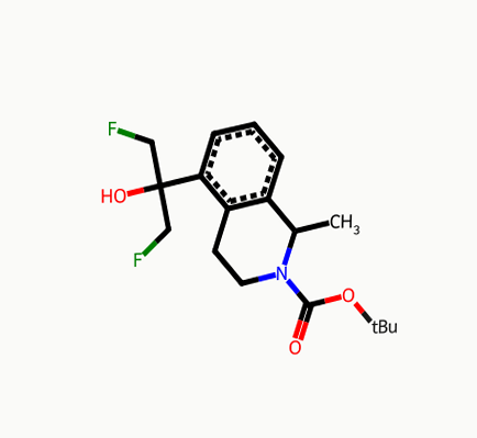 CC1c2cccc(C(O)(CF)CF)c2CCN1C(=O)OC(C)(C)C